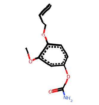 C=CCOc1ccc(OC(N)=O)cc1OC